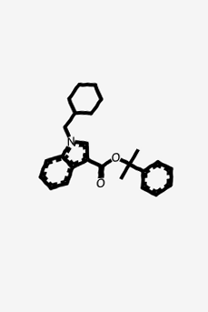 CC(C)(OC(=O)c1cn(CC2CCCCC2)c2ccccc12)c1ccccc1